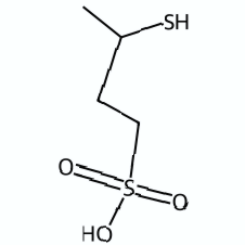 CC(S)CCS(=O)(=O)O